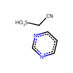 N#CCS(=O)(=O)O.c1cncnc1